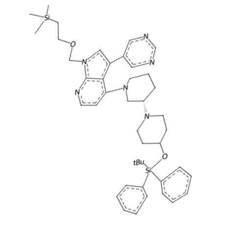 CC(C)(C)[Si](OC1CCN([C@H]2CCCN(c3ccnc4c3c(-c3cncnc3)cn4COCC[Si](C)(C)C)C2)CC1)(c1ccccc1)c1ccccc1